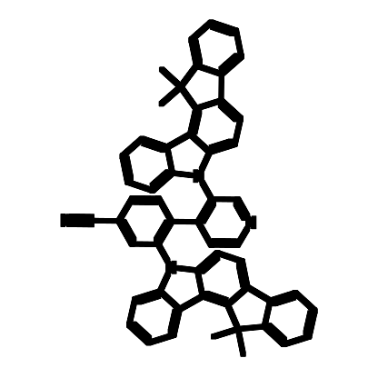 CC1(C)c2ccccc2-c2ccc3c(c21)c1ccccc1n3-c1cnccc1-c1ccc(C#N)cc1-n1c2ccccc2c2c3c(ccc21)-c1ccccc1C3(C)C